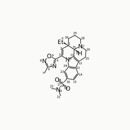 CC[C@@]12C=C(c3nc(C)no3)n3c4c(c5ccc(S(=O)(=O)N(C)C)cc53)CCN(CCC1)[C@H]42